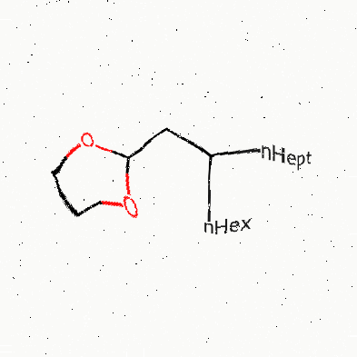 CCCCCCCC(CCCCCC)CC1OCCO1